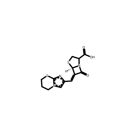 O=C(O)C1CS[C@@H]2/C(=C\c3cn4c(n3)SCCC4)C(=O)N12